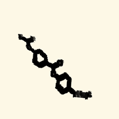 CCCCCCCc1ccc(OC(=O)c2ccc(OC(F)F)cc2)cc1